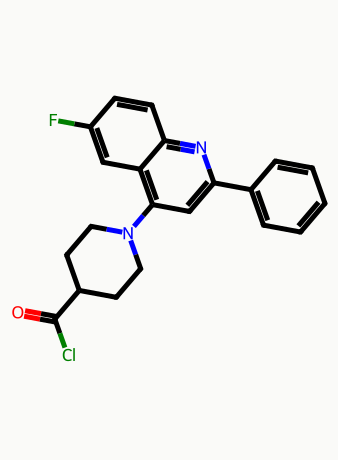 O=C(Cl)C1CCN(c2cc(-c3ccccc3)nc3ccc(F)cc23)CC1